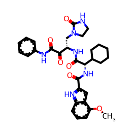 COc1cccc2[nH]c(C(=O)N[C@H](C(=O)N[C@@H](CN3CCNC3=O)C(=O)C(=O)Nc3ccccc3)C3CCCCC3)cc12